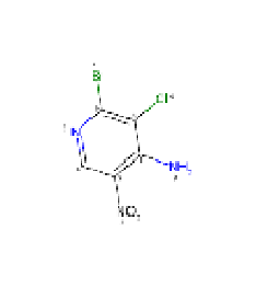 Nc1c([N+](=O)[O-])cnc(Br)c1Cl